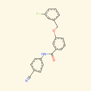 N#Cc1ccc(NC(=O)c2cccc(OCc3cccc(F)c3)c2)cc1